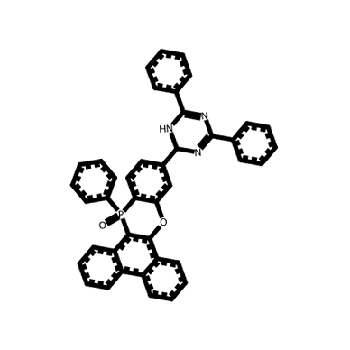 O=P1(c2ccccc2)c2ccc(C3N=C(c4ccccc4)N=C(c4ccccc4)N3)cc2Oc2c1c1ccccc1c1ccccc21